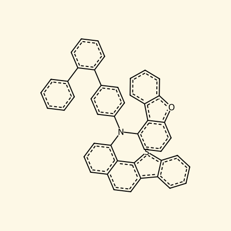 c1ccc(-c2ccccc2-c2ccc(N(c3cccc4oc5ccccc5c34)c3cccc4ccc5c6ccccc6sc5c34)cc2)cc1